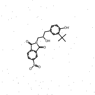 CC(C)(C)c1cc(CC(O)CN2C(=O)c3ccc([N+](=O)[O-])cc3C2=O)ccc1O